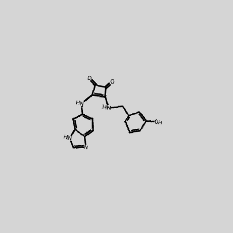 O=c1c(NCc2cccc(O)c2)c(Nc2ccc3nc[nH]c3c2)c1=O